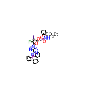 CCOC(=O)C(C)NP(=O)(CO[C@H]1O[C@@H](n2cnc3c(N=P(c4ccccc4)(c4ccccc4)c4ccccc4)ncnc32)[C@@H](F)[C@@H]1I)Oc1ccccc1